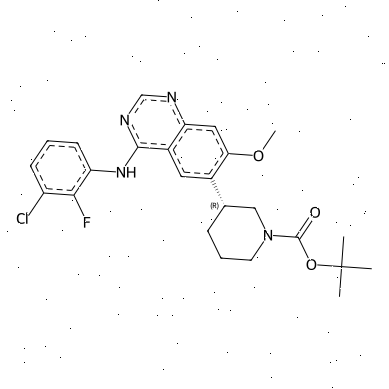 COc1cc2ncnc(Nc3cccc(Cl)c3F)c2cc1[C@H]1CCCN(C(=O)OC(C)(C)C)C1